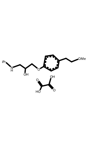 COCCc1ccc(OCC(O)CNC(C)C)cc1.O=C(O)C(=O)O